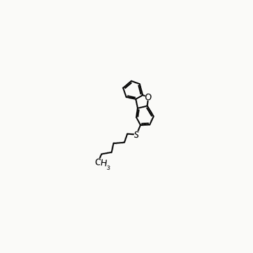 CCCCCCSc1ccc2oc3ccccc3c2c1